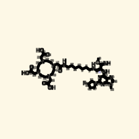 COC(=N)/C(=C\NCCCCCCCNC(=O)CN1CCN(CC(=O)O)CCN(CC(=O)O)CCN(CC(=O)O)CC1)Nc1nc(N2CC[C@H](F)C2)nc2c1ncn2C